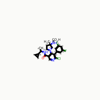 CC(NC(=O)c1cnc(Cl)c(-c2cc(F)cc(F)c2)c1N1CC[C@](C)(NC(=O)O)C1)C1CC1